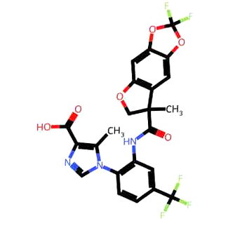 Cc1c(C(=O)O)ncn1-c1ccc(C(F)(F)F)cc1NC(=O)C1(C)COc2cc3c(cc21)OC(F)(F)O3